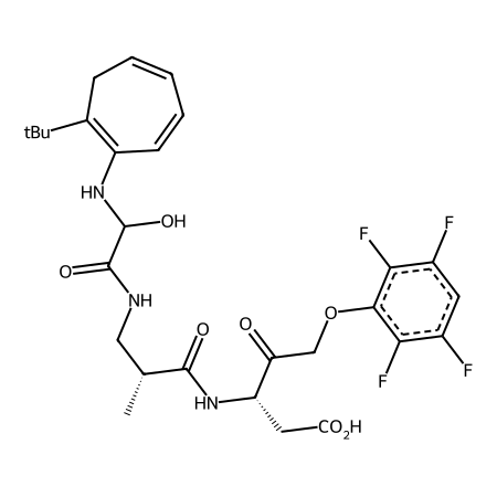 C[C@H](CNC(=O)C(O)NC1=C(C(C)(C)C)CC=CC=C1)C(=O)N[C@@H](CC(=O)O)C(=O)COc1c(F)c(F)cc(F)c1F